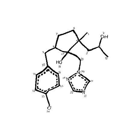 CC(O)CC1(C)CCC(Cc2ccc(Cl)cc2)C1(O)Cn1cncn1